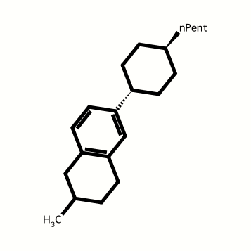 CCCCC[C@H]1CC[C@H](c2ccc3c(c2)CCC(C)C3)CC1